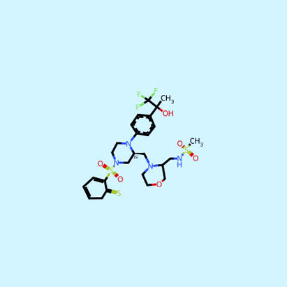 CC(O)(c1ccc(N2CCN(S(=O)(=O)C3=CC=CCC3=S)C[C@@H]2CN2CCOCC2CNS(C)(=O)=O)cc1)C(F)(F)F